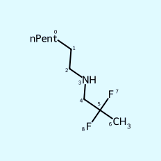 CCCCCCCNCC(C)(F)F